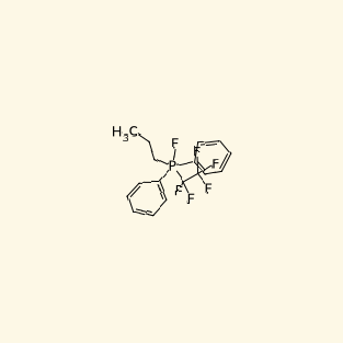 CCCP(F)(c1ccccc1)(c1ccccc1)C(F)(F)C(F)(F)F